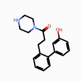 O=C(CCc1ccccc1-c1cccc(O)c1)N1CCNCC1